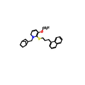 O=C(O)OC1=C(SCCCc2cccc3ccccc23)N(CC2CC3CCC2C3)CC=C1